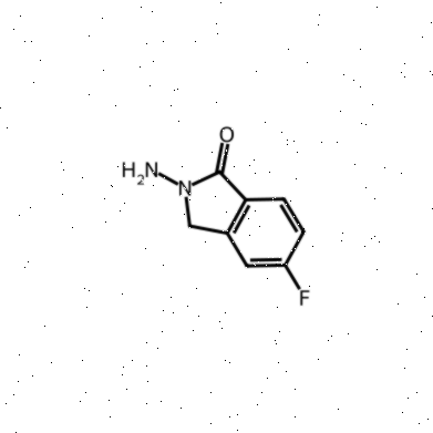 NN1Cc2cc(F)ccc2C1=O